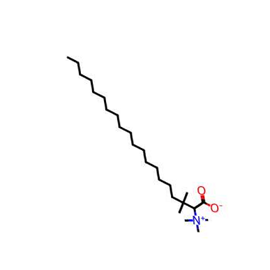 CCCCCCCCCCCCCCCCCC(C)(C)C(C(=O)[O-])[N+](C)(C)C